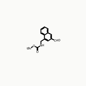 CC(C)(C)OC(=O)NCc1cc(C=O)cc2ccccc12